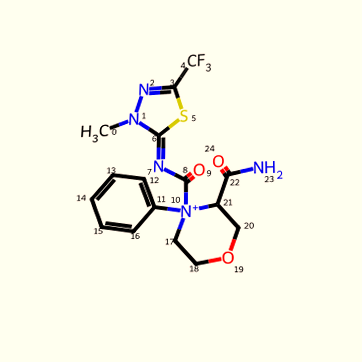 Cn1nc(C(F)(F)F)sc1=NC(=O)[N+]1(c2ccccc2)CCOCC1C(N)=O